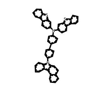 c1ccc2c(c1)ccc1c2c2ccccc2n1-c1ccc(-c2ccc(N(c3ccc4c(c3)sc3ccccc34)c3ccc4c(c3)sc3ccccc34)cc2)cc1